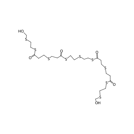 O=C(CCSCCC(=O)SCCSCCSC(=O)CCSCCC(=O)SCCSCO)SCCSCO